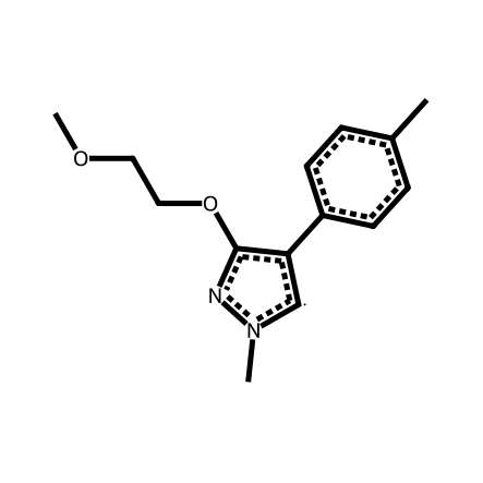 COCCOc1nn(C)[c]c1-c1ccc(C)cc1